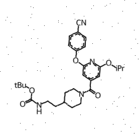 CC(C)Oc1cc(C(=O)N2CCC(CCNC(=O)OC(C)(C)C)CC2)cc(Oc2ccc(C#N)cc2)n1